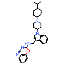 CC(C)C1CCC(N2CCC(n3cc(CNC(=NC#N)Oc4ccccc4)c4ccccc43)CC2)CC1